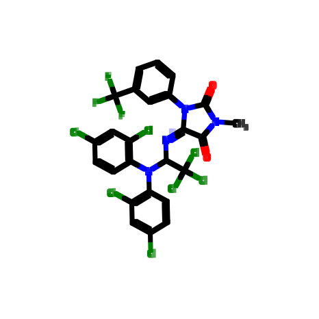 CN1C(=O)/C(=N\C(N(c2ccc(Cl)cc2Cl)c2ccc(Cl)cc2Cl)C(Cl)(Cl)Cl)N(c2cccc(C(F)(F)F)c2)C1=O